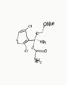 CCC[C@](OCOC)(OC(N)=O)c1c(Cl)cccc1Cl